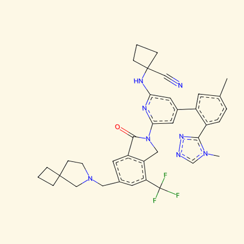 Cc1ccc(-c2nncn2C)c(-c2cc(NC3(C#N)CCC3)nc(N3Cc4c(cc(CN5CCC6(CCC6)C5)cc4C(F)(F)F)C3=O)c2)c1